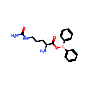 NC(=O)NCCCC(N)C(=O)OB(c1ccccc1)c1ccccc1